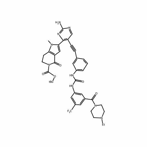 CCN1CCN(C(=O)c2cc(NC(=O)Nc3cccc(C#Cc4cnc(N)nc4-c4cc5c(n4C)CCN(C(=O)OC(C)(C)C)C5=O)c3)cc(C(F)(F)F)c2)CC1